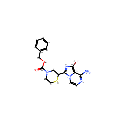 Nc1nccn2c(C3CN(C(=O)OCc4ccccc4)CCS3)nc(Br)c12